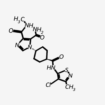 CNC(=O)c1ncn([C@H]2CC[C@H](C(=O)Nc3snc(C)c3Cl)CC2)c1C(N)=O